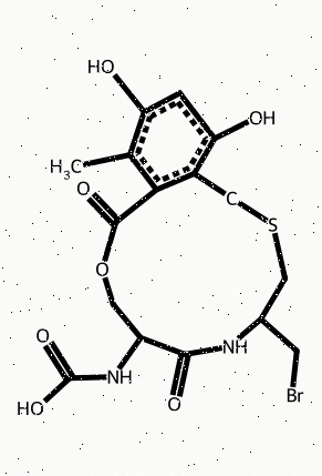 Cc1c(O)cc(O)c2c1C(=O)OCC(NC(=O)O)C(=O)NC(CBr)CSC2